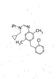 Cc1cc(/N=C\N(CC2CC2)C(C)C)c(C)cc1Cc1ccccc1Cl